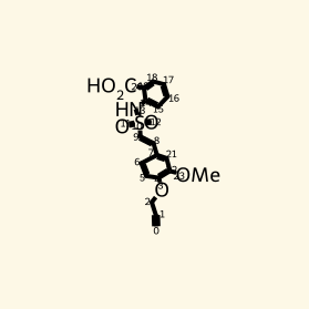 C#CCOc1ccc(/C=C/S(=O)(=O)Nc2ccccc2C(=O)O)cc1OC